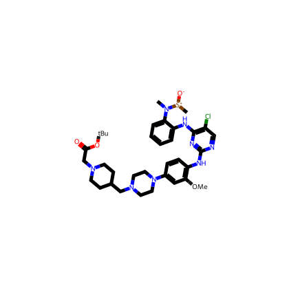 COc1cc(N2CCN(CC3CCN(CC(=O)OC(C)(C)C)CC3)CC2)ccc1Nc1ncc(Cl)c(Nc2ccccc2N(C)[S+](C)[O-])n1